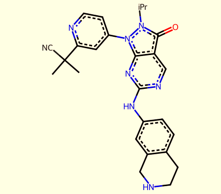 CC(C)n1c(=O)c2cnc(Nc3ccc4c(c3)CNCC4)nc2n1-c1ccnc(C(C)(C)C#N)c1